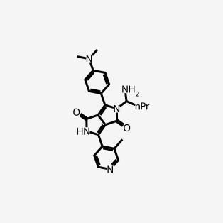 CCCC(N)N1C(=O)C2=C(c3ccncc3C)NC(=O)C2=C1c1ccc(N(C)C)cc1